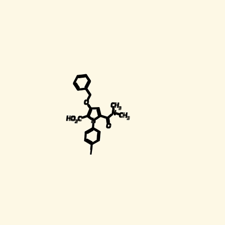 CN(C)C(=O)c1cc(OCc2ccccc2)c(C(=O)O)n1-c1ccc(I)cc1